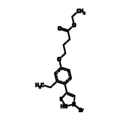 CCOC(=O)CCCOc1ccc(C2=CN(Br)NS2)c(CC)c1